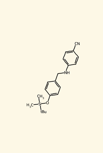 CC(C)(C)[Si](C)(C)Oc1ccc(CNc2ccc(C#N)cc2)cc1